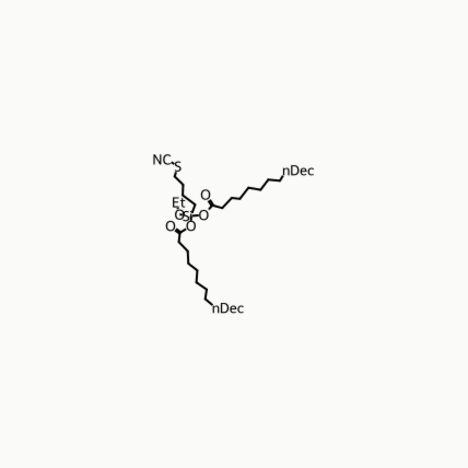 CCCCCCCCCCCCCCCCCC(=O)O[Si](CCCCSC#N)(OCC)OC(=O)CCCCCCCCCCCCCCCCC